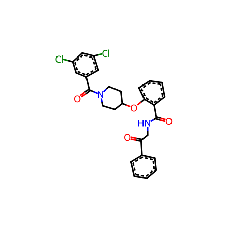 O=C(CNC(=O)c1ccccc1OC1CCN(C(=O)c2cc(Cl)cc(Cl)c2)CC1)c1ccccc1